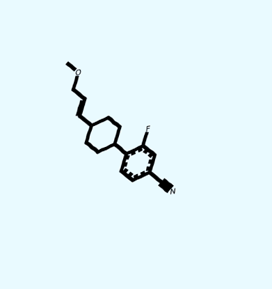 COCC=CC1CCC(c2ccc(C#N)cc2F)CC1